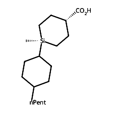 CCCCCC1CCC([Si@]2(C)CC[C@@H](C(=O)O)CC2)CC1